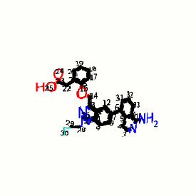 Nc1nccc2c(-c3ccc4c(c3)c(COc3ccccc3CC(=O)O)nn4CCF)cccc12